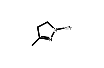 CCCN1CCC(C)=N1